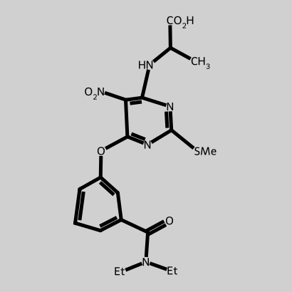 CCN(CC)C(=O)c1cccc(Oc2nc(SC)nc(NC(C)C(=O)O)c2[N+](=O)[O-])c1